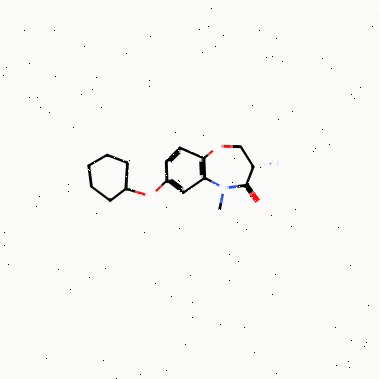 CN1C(=O)[C@@H](N)COc2ccc(OC3CCCCC3)cc21.Cl